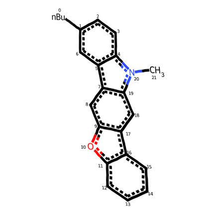 CCCCc1ccc2c(c1)c1cc3oc4ccccc4c3cc1n2C